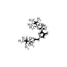 CC(C)(C)[Si](C)(C)N=S(N)(=O)c1nn(CCO[Si](C)(C)C(C)(C)C)cc1F